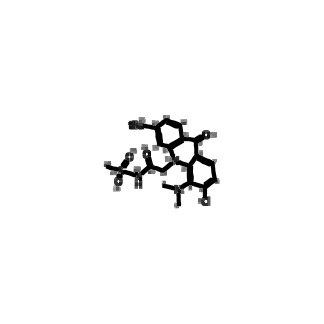 CN(C)c1c(Cl)ccc2c(=O)c3ccc(C(C)(C)C)cc3n(CC(=O)NS(C)(=O)=O)c12